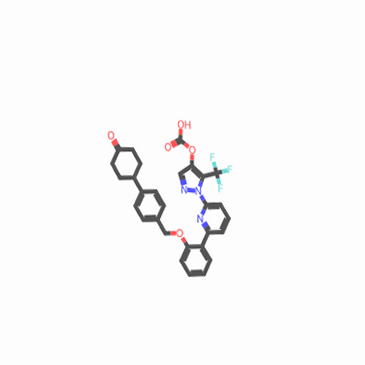 O=C1CCC(c2ccc(COc3ccccc3-c3cccc(-n4ncc(OC(=O)O)c4C(F)(F)F)n3)cc2)CC1